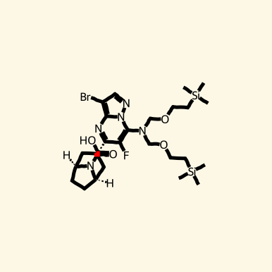 C[Si](C)(C)CCOCN(COCC[Si](C)(C)C)c1c(F)c([C@@H]2C[C@H]3CC[C@@H](C2)N3C(=O)O)nc2c(Br)cnn12